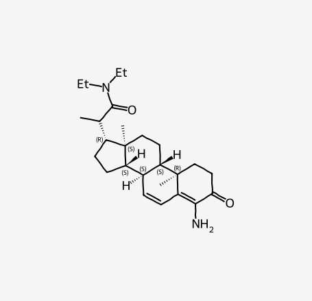 CCN(CC)C(=O)C(C)[C@H]1CC[C@H]2[C@@H]3C=CC4=C(N)C(=O)CC[C@]4(C)[C@H]3CC[C@]12C